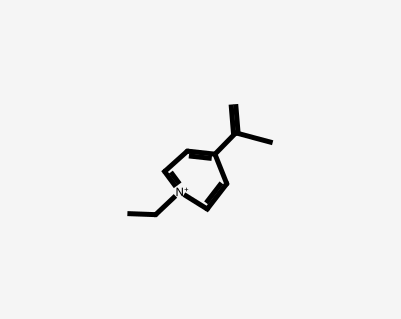 C=C(C)c1cc[n+](CC)cc1